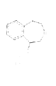 Br.Br.NC1CNCCc2ccccc21